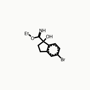 CCOC(=N)C1(O)CCc2cc(Br)ccc21